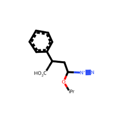 CC(C)OC(CC(C(=O)O)c1ccccc1)[N+]#N